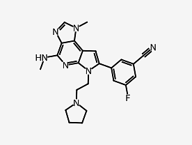 CNc1nc2c(cc(-c3cc(F)cc(C#N)c3)n2CCN2CCCC2)c2c1ncn2C